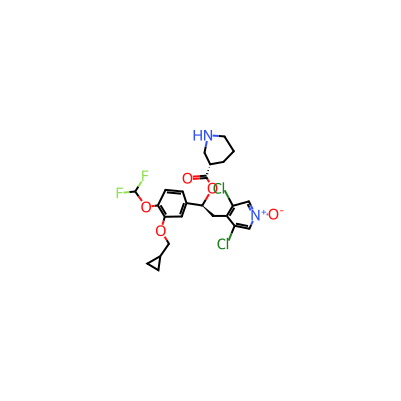 O=C(O[C@@H](Cc1c(Cl)c[n+]([O-])cc1Cl)c1ccc(OC(F)F)c(OCC2CC2)c1)[C@H]1CCCNC1